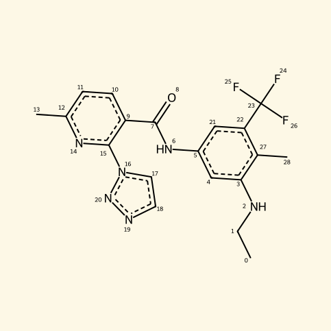 CCNc1cc(NC(=O)c2ccc(C)nc2-n2ccnn2)cc(C(F)(F)F)c1C